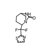 O=C1NC2CCC(C(F)(F)c3nccs3)N1C2